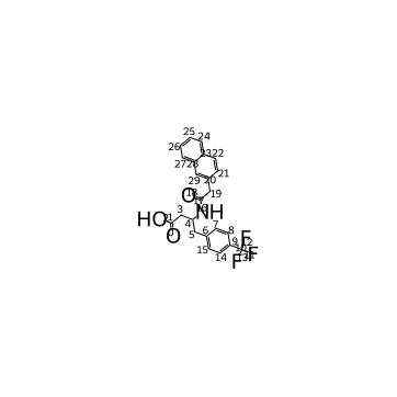 O=C(O)CC(Cc1ccc(C(F)(F)F)cc1)NC(=O)Cc1ccc2ccccc2c1